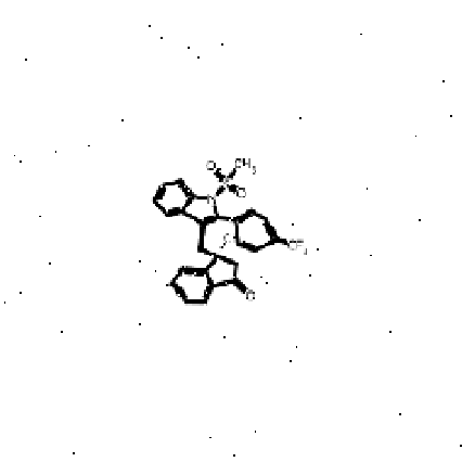 C[C@]1(Cc2c(-c3ccc(C(F)(F)F)cc3)n(S(C)(=O)=O)c3ccccc23)CC(=O)c2ccccc21